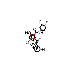 O=C(Nc1ccc(F)c(F)c1)c1ccc(Cl)c(S(=O)(=O)C2CC3C[C@@H](C2)[C@@]3(O)CNC(=O)C2CC(O)C2)c1